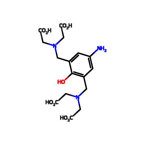 Nc1cc(CN(CC(=O)O)CC(=O)O)c(O)c(CN(CC(=O)O)CC(=O)O)c1